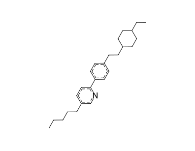 CCCCCc1ccc(-c2ccc(CCC3CCC(CC)CC3)cc2)nc1